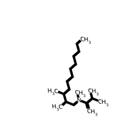 C=C(C(C)C)N(C)CC(C)C(C)CCCCCCCCC